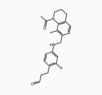 CC(=O)N1CCCc2ccc(CNc3ccc(CCC=O)c(F)c3)c(C)c21